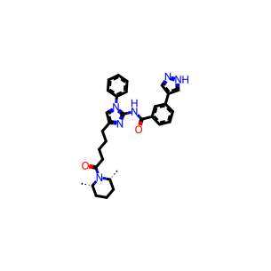 C[C@@H]1CCC[C@H](C)N1C(=O)CCCCc1cn(-c2ccccc2)c(NC(=O)c2cccc(-c3cn[nH]c3)c2)n1